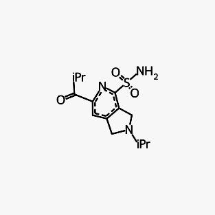 CC(C)C(=O)c1cc2c(c(S(N)(=O)=O)n1)CN(C(C)C)C2